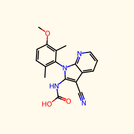 COc1ccc(C)c(-n2c(NC(=O)O)c(C#N)c3cccnc32)c1C